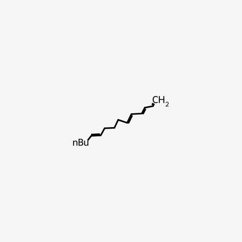 C=CC=CC=CCCCC=CCCCC